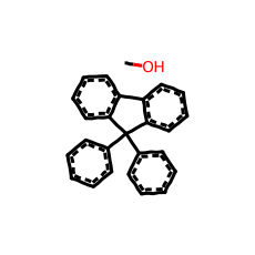 CO.c1ccc(C2(c3ccccc3)c3ccccc3-c3ccccc32)cc1